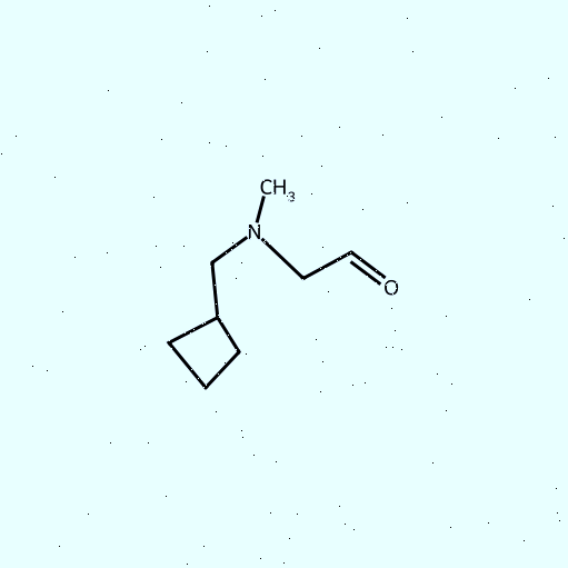 CN(CC=O)CC1CCC1